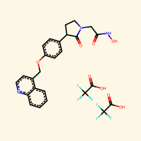 O=C(CN1CCC(c2ccc(OCc3ccnc4ccccc34)cc2)C1=O)NO.O=C(O)C(F)(F)F.O=C(O)C(F)(F)F